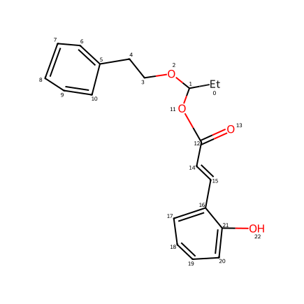 CCC(OCCc1ccccc1)OC(=O)C=Cc1ccccc1O